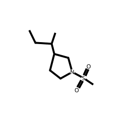 CCC(C)C1CCN(S(C)(=O)=O)C1